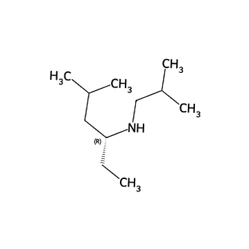 CC[C@H](CC(C)C)NCC(C)C